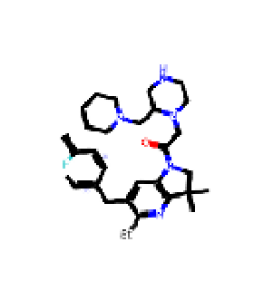 C=C(F)/C=C\C(=C/C)Cc1cc2c(nc1CC)C(C)(C)CN2C(=O)CN1CCNCC1CN1CCCCC1